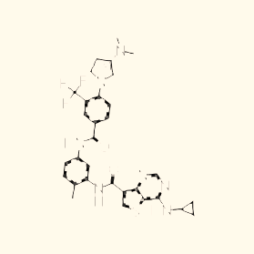 Cc1ccc(NC(=O)c2ccc(N3CC[C@@H](N(C)C)C3)c(C(F)(F)F)c2)cc1NC(=O)c1csc2c(NC3CC3)ncnc12